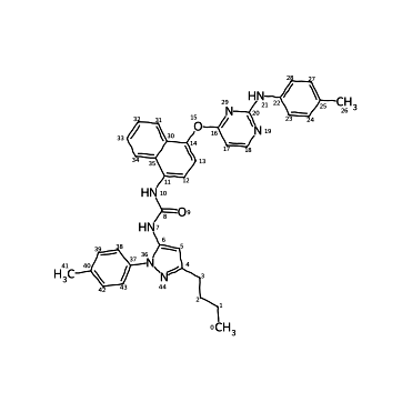 CCCCc1cc(NC(=O)Nc2ccc(Oc3ccnc(Nc4ccc(C)cc4)n3)c3ccccc23)n(-c2ccc(C)cc2)n1